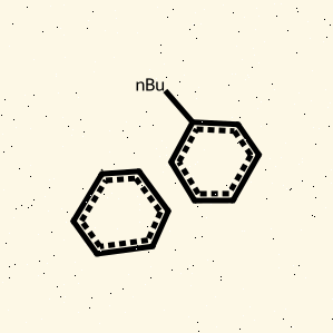 [CH2]CCCc1ccccc1.[c]1ccccc1